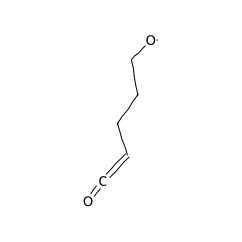 [O]CCCC=C=O